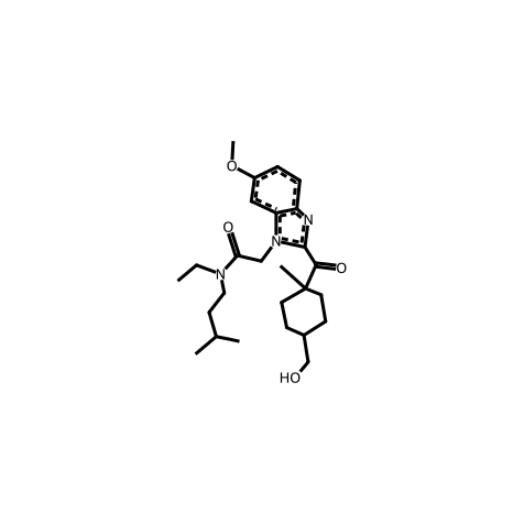 CCN(CCC(C)C)C(=O)Cn1c(C(=O)C2(C)CCC(CO)CC2)nc2ccc(OC)cc21